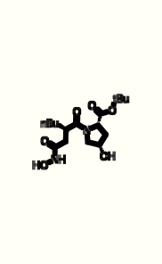 CCCC[C@H](CC(=O)NO)C(=O)N1C[C@@H](O)C[C@H]1C(=O)OC(C)(C)C